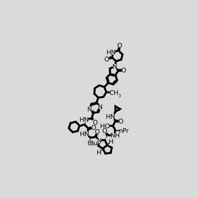 CCC[C@@H](NC(=O)[C@@H]1[C@H]2CCC[C@H]2CN1C(=O)[C@@H](NC(=O)[C@@H](NC(=O)c1cnc(C2CCCC(c3ccc4c(c3)CN(C3CCC(=O)NC3=O)C4=O)C(C)C2)cn1)C1CCCCC1)C(C)(C)C)C(O)C(=O)NC1CC1